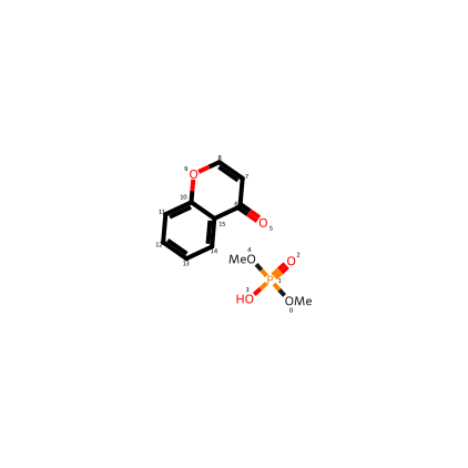 COP(=O)(O)OC.O=c1ccoc2ccccc12